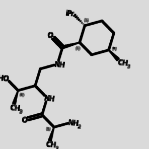 CC(C)[C@@H]1CC[C@@H](C)C[C@H]1C(=O)NCC(NC(=O)[C@H](C)N)[C@@H](C)O